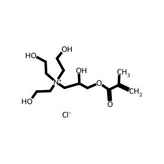 C=C(C)C(=O)OCC(O)C[N+](CCO)(CCO)CCO.[Cl-]